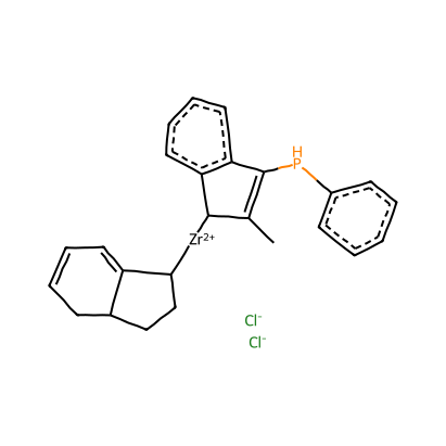 CC1=C(Pc2ccccc2)c2ccccc2[CH]1[Zr+2][CH]1CCC2CC=CC=C21.[Cl-].[Cl-]